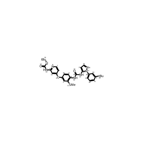 CSc1cc(Oc2ccnc(NC(=O)OC(C)(C)C)c2)ccc1NC(=O)Nc1ccnn1-c1cccc(C(C)(C)C)c1